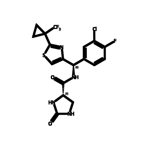 O=C1NC[C@@H](C(=O)N[C@H](c2ccc(F)c(Cl)c2)c2csc(C3(C(F)(F)F)CC3)n2)N1